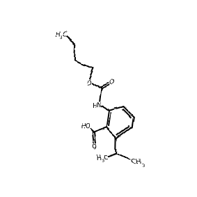 CCCCOC(=O)Nc1cccc(C(C)C)c1C(=O)O